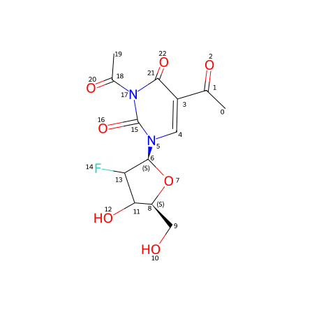 CC(=O)c1cn([C@H]2O[C@@H](CO)C(O)C2F)c(=O)n(C(C)=O)c1=O